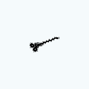 C#CCCCCCCCCCCCCCO[Si](c1ccccc1)(c1ccccc1)C(C)(C)C